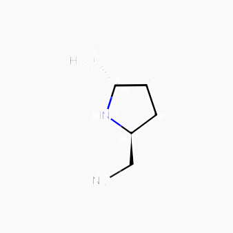 N#CC[C@@H]1CC[C@@H](C(=O)O)N1